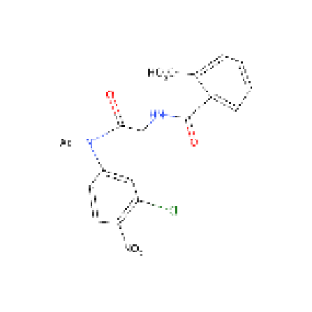 CC(=O)N(C(=O)CNC(=O)c1ccccc1C(=O)O)c1ccc([N+](=O)[O-])c(Cl)c1